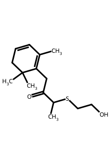 CC1=C(CC(=O)C(C)SCCO)C(C)(C)CC=C1